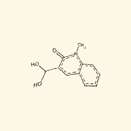 Cn1c(=O)c(C(O)O)cc2ccccc21